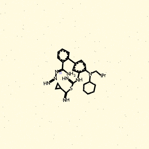 CC(C)CN(c1ccc(-c2ccccc2/C(N)=N/N=N)cc1NC(=N)SC(=N)C1CC1)C1CCCCC1